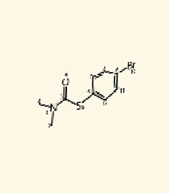 CN(C)C(=O)Sc1ccc(Br)cc1